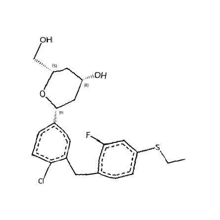 CCSc1ccc(Cc2cc([C@H]3C[C@@H](O)C[C@@H](CO)O3)ccc2Cl)c(F)c1